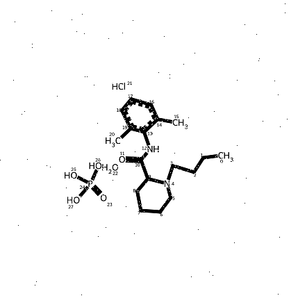 CCCCN1CCCCC1C(=O)Nc1c(C)cccc1C.Cl.O.O=P(O)(O)O